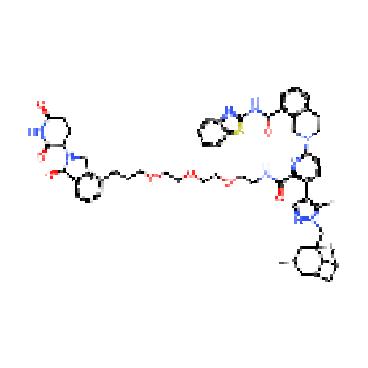 Cc1c(-c2ccc(N3CCc4cccc(C(=O)Nc5nc6ccccc6s5)c4C3)nc2C(=O)NCCOCCOCCOCCCc2cccc3c2CN(C2CCC(=O)NC2=O)C3=O)cnn1CC12CC(C)CC3CC(C1)C32